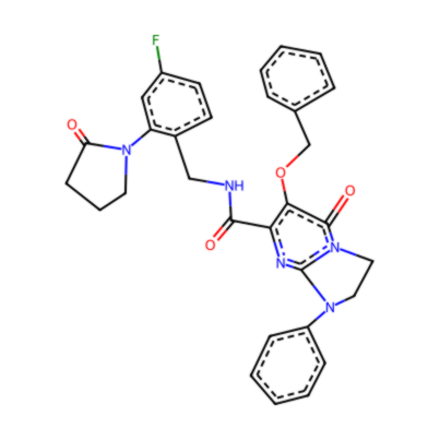 O=C(NCc1ccc(F)cc1N1CCCC1=O)c1nc2n(c(=O)c1OCc1ccccc1)CCN2c1ccccc1